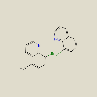 Brc1cccc2cccnc12.O=[N+]([O-])c1ccc(Br)c2ncccc12